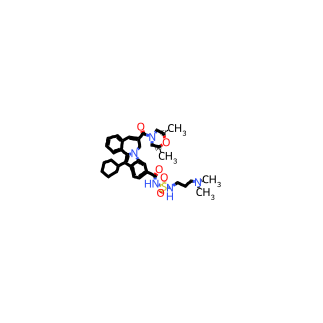 C[C@@H]1CN(C(=O)C2=Cc3ccccc3-c3c(C4CCCCC4)c4ccc(C(=O)NS(=O)(=O)NCCCN(C)C)cc4n3C2)C[C@H](C)O1